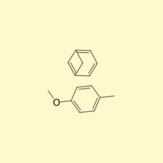 COc1ccc(C)cc1.c1cc2cc(c1)C2